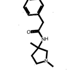 CN1CCC(C)(NC(=O)Cc2ccccc2)C1